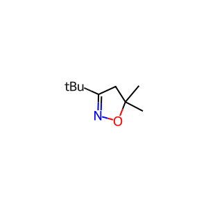 CC1(C)CC(C(C)(C)C)=NO1